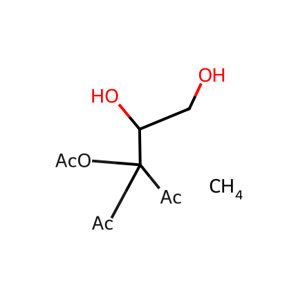 C.CC(=O)OC(C(C)=O)(C(C)=O)C(O)CO